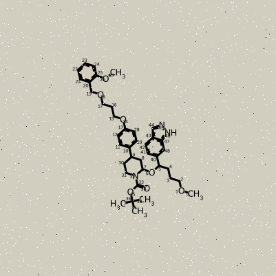 COCCCC(OC1CC(c2ccc(OCCCOCc3ccccc3OC)cc2)CCN1C(=O)OC(C)(C)C)c1ccc2cn[nH]c2c1